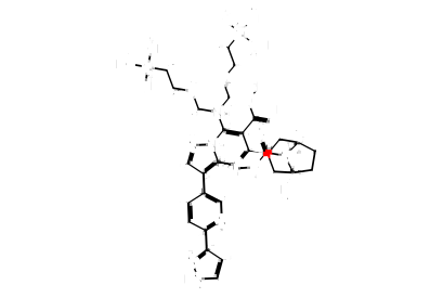 C=C(OCC)c1c([C@H]2C[C@H]3CC[C@@H](C2)N3C(=O)OC(C)(C)C)nc2c(-c3ccc(-c4cc[nH]n4)nc3)cnn2c1N(COCC[Si](C)(C)C)COCC[Si](C)(C)C